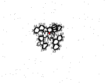 c1ccc2cc3c(cc2c1)c1ccc2ccccc2c1n3-c1ccc2oc3ccccc3c2c1-c1nc(-c2cccc3ccccc23)nc(-c2cc3ccccc3c3ccccc23)n1